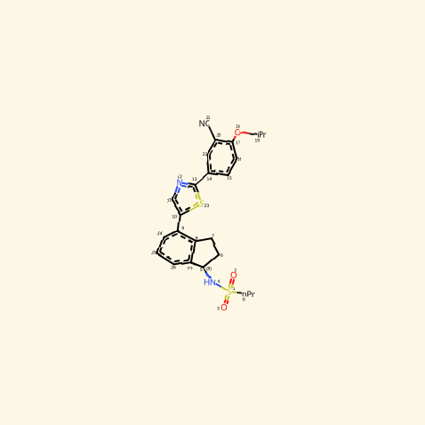 CCCS(=O)(=O)N[C@@H]1CCc2c(-c3cnc(-c4ccc(OC(C)C)c(C#N)c4)s3)cccc21